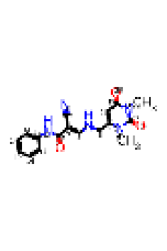 Cn1c(CN/C=C(\C#N)C(=O)Nc2ccccc2)cc(=O)n(C)c1=O